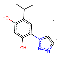 CC(C)c1cc(-n2ccnn2)c(O)cc1O